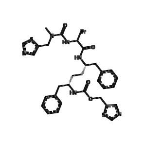 CC(C)C(NC(=O)N(C)Cc1cncs1)C(=O)N[C@@H](CC[C@@H](Cc1ccccc1)NC(=O)OCc1cncs1)Cc1ccccc1